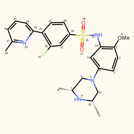 COc1ccc(N2C[C@@H](C)N[C@@H](C)C2)cc1NS(=O)(=O)c1ccc(-c2cccc(C)n2)c(F)c1